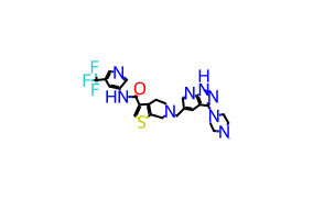 CN1CCN(c2n[nH]c3ncc(CN4CCc5c(C(=O)Nc6cncc(C(F)(F)F)c6)csc5C4)cc23)CC1